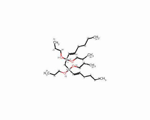 CCCCC=C[Si](C[Si](C=CCCCC)(OCCC)OCCC)(OCCC)OCCC